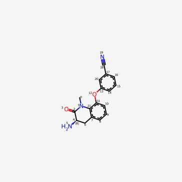 CN1C(=O)[C@H](N)Cc2cccc(Oc3cccc(C#N)c3)c21